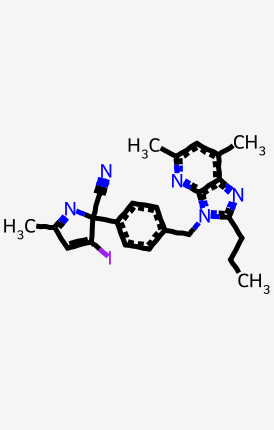 CCCc1nc2c(C)cc(C)nc2n1Cc1ccc(C2(C#N)N=C(C)C=C2I)cc1